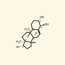 CC(=O)[C@H]1CC[C@H]2[C@@H]3CC=C4[C@H](O)[C@@H](O)CC[C@]4(C)[C@H]3CC[C@]12C